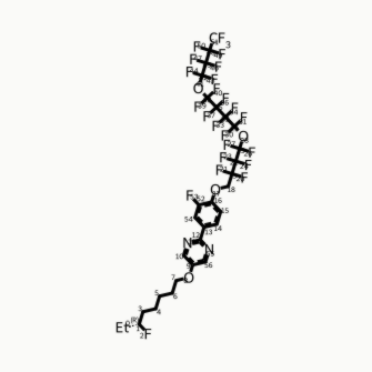 CC[C@@H](F)CCCCCOc1cnc(-c2ccc(OCC(F)(F)C(F)(F)C(F)(F)OC(F)(F)C(F)(F)C(F)(F)C(F)(F)OC(F)(F)C(F)(F)C(F)(F)C(F)(F)F)c(F)c2)nc1